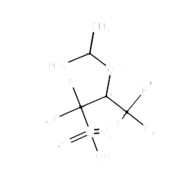 CC(C)OC(C(F)(F)F)C(F)(F)S(=O)(=O)O